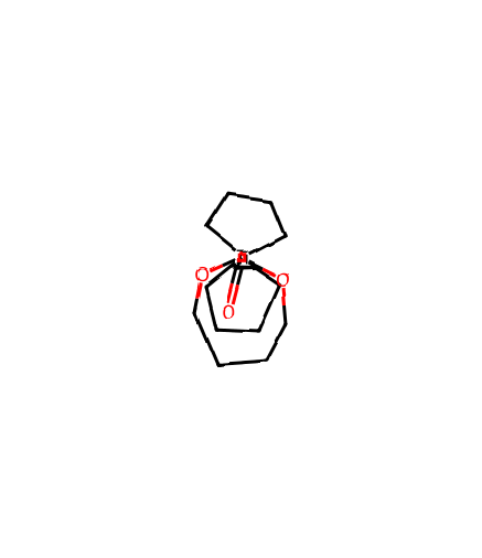 [O]=[Ti]1234([CH2]CC[CH2]1)([CH2]CC[CH2]2)([CH2]CC[CH2]3)[O]CCCC[O]4